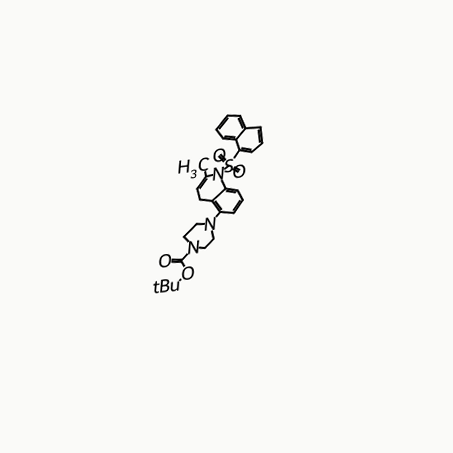 CC1=CCc2c(N3CCN(C(=O)OC(C)(C)C)CC3)cccc2N1S(=O)(=O)c1cccc2ccccc12